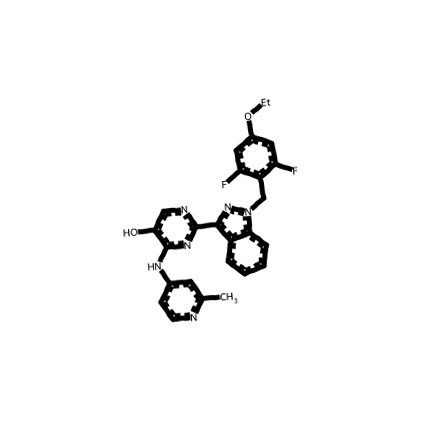 CCOc1cc(F)c(Cn2nc(-c3ncc(O)c(Nc4ccnc(C)c4)n3)c3ccccc32)c(F)c1